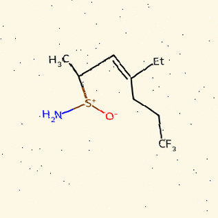 CCC(=CC(C)[S+](N)[O-])CCC(F)(F)F